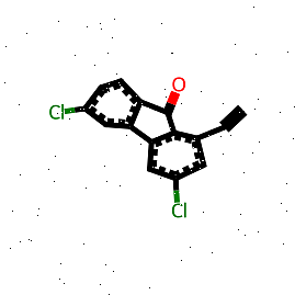 C#Cc1cc(Cl)cc2c1C(=O)c1ccc(Cl)cc1-2